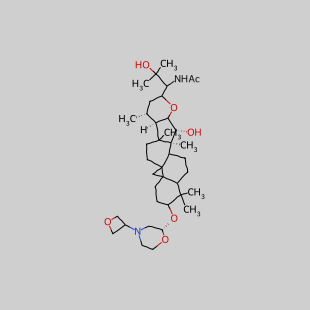 CC(=O)NC(C1C[C@@H](C)[C@H]2C(O1)[C@H](O)[C@@]1(C)C3CCC4C(C)(C)C(O[C@H]5CN(C6COC6)CCO5)CCC45CC35CCC21C)C(C)(C)O